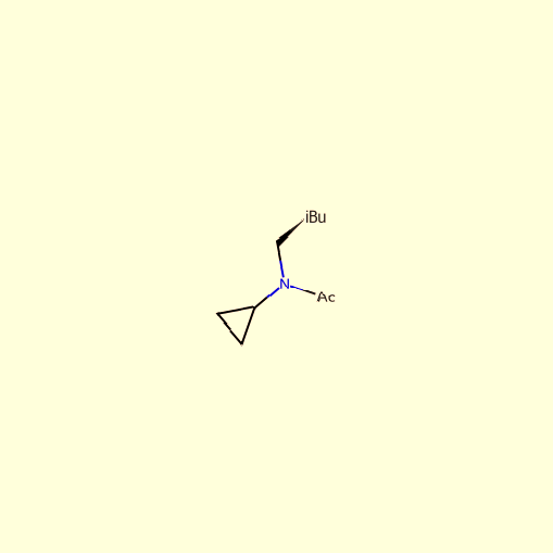 CC[C@H](C)CN(C(C)=O)C1CC1